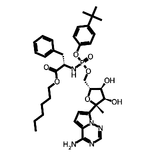 CCCCCCOC(=O)[C@H](Cc1ccccc1)NP(=O)(OC[C@H]1O[C@@](C)(c2ccc3c(N)ncnn23)[C@H](O)[C@@H]1O)Oc1ccc(C(C)(C)C)cc1